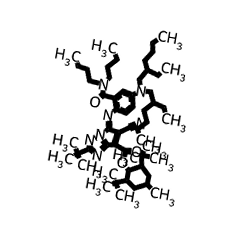 CCCCC(CC)CN(CC(CC)CCCC)c1ccc(/N=C2\C(C#N)=C(C(=O)OC3C(C(C)(C)C)CC(C)CC3C(C)(C)C)c3nc(C(C)(C)C)nn32)c(C(=O)N(CCCC)CCCC)c1